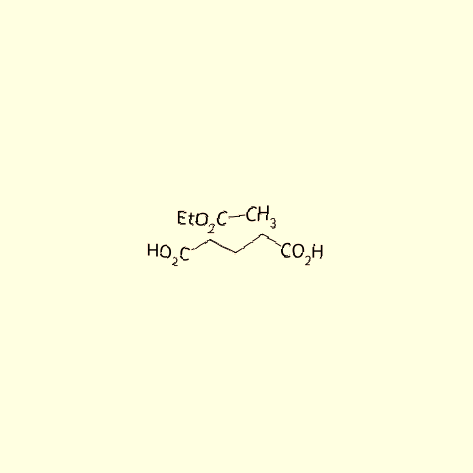 CCOC(C)=O.O=C(O)CCCC(=O)O